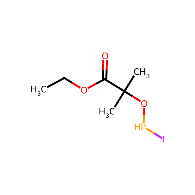 CCOC(=O)C(C)(C)OPI